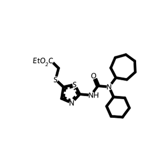 CCOC(=O)CSc1cnc(NC(=O)N(C2CCCCCC2)C2CCCCC2)s1